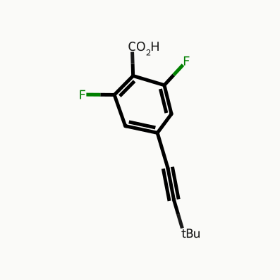 CC(C)(C)C#Cc1cc(F)c(C(=O)O)c(F)c1